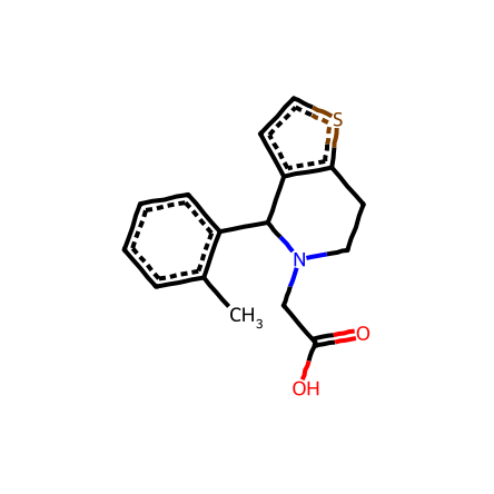 Cc1ccccc1C1c2ccsc2CCN1CC(=O)O